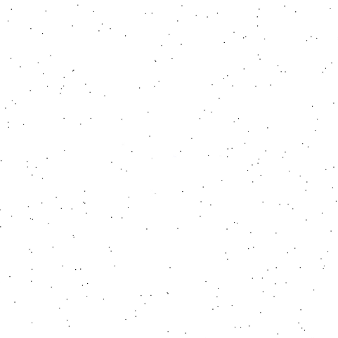 C/C(=C\O[Si](C)(C)C)C([O])(O[Si](C)(C)C)O[Si](C)(C)C